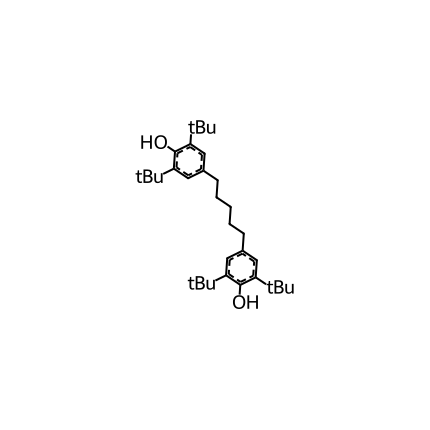 CC(C)(C)c1cc(CCCCCc2cc(C(C)(C)C)c(O)c(C(C)(C)C)c2)cc(C(C)(C)C)c1O